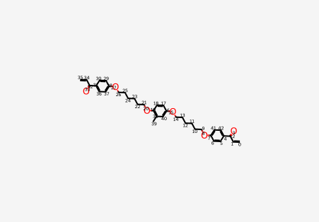 C=CC(=O)c1ccc(OCCCCCCOc2ccc(OCCCCCCOc3ccc(C(=O)C=C)cc3)c(C)c2)cc1